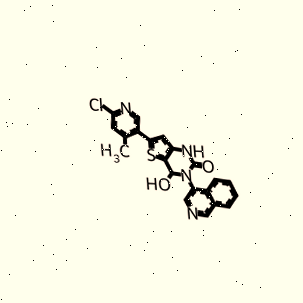 Cc1cc(Cl)ncc1-c1cc2c(s1)C(O)N(c1cncc3ccccc13)C(=O)N2